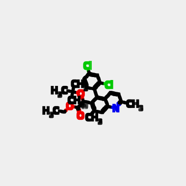 CCOC(=O)[C@@H](OC(C)(C)C)c1c(C)cc2nc(C)ccc2c1-c1ccc(Cl)cc1Cl